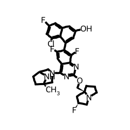 C[C@]12CCC(CN(c3nc(OC[C@@]45CCCN4C[C@H](F)C5)nc4c(F)c(-c5cc(O)cc6cc(F)cc(Cl)c56)c(F)cc34)C1)N2